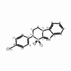 O=S1(=O)c2nc3ccccc3n2CCN1c1ccc(Cl)cc1